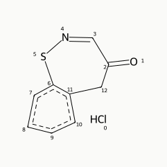 Cl.O=C1C=NSc2ccccc2C1